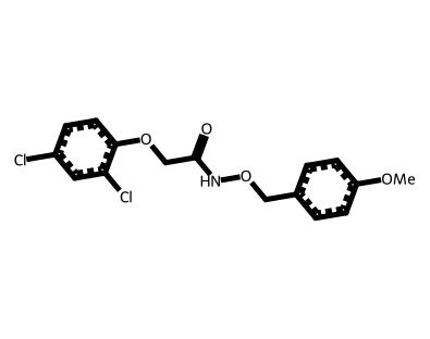 COc1ccc(CONC(=O)COc2ccc(Cl)cc2Cl)cc1